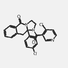 O=C(c1cnccc1Cl)N1CCN2C(=O)c3ccccc3CC12c1ccc(Cl)cc1